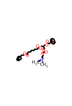 CCN(CC)CCCOC(=O)OCC(COC(=O)CCCCCCC(=O)OCCC12CC3CC(C1)C(C3)C2)COC(=O)CC12CC3CC(CC(C3)C1)C2